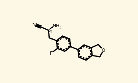 N#C[C@@H](N)Cc1ccc(-c2ccc3c(c2)COC3)cc1F